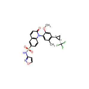 COc1cc([C@H]2C[C@@H]2C(F)(F)F)c(C)cc1-n1c(=O)ccc2cc(S(=O)(=O)Nc3ccon3)ccc21